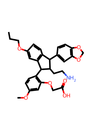 CCCOc1ccc2c(c1)C(c1ccc(OC)cc1OCC(=O)O)C(CCN)C2c1ccc2c(c1)OCO2